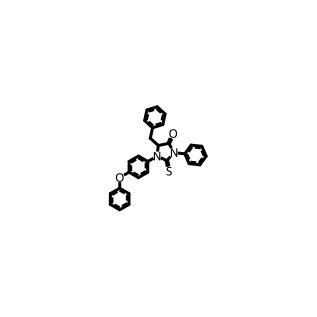 O=C1C(Cc2ccccc2)N(c2ccc(Oc3ccccc3)cc2)C(=S)N1c1ccccc1